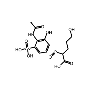 CC(=O)Nc1c(O)cccc1[As](=O)(O)O.O=PC(CCCO)C(=O)O